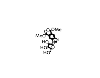 COC(=O)c1cc2ncn([C@@H]3O[C@H](CO)[C@@H](O)[C@H]3O)c2cc1C(=O)OC